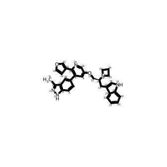 Cc1n[nH]c2ccc(-c3cc(OC[C@H](Cc4c[nH]c5ccccc45)N4CCC4)cnc3-c3ccoc3)cc12